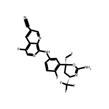 N#Cc1cnc2c(Nc3ccc(F)c([C@]4(CF)C[C@@H](C(F)(F)F)N=C(N)O4)c3)ncc(F)c2c1